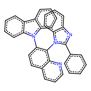 c1ccc(-c2nc3ccccc3n2-c2c(-n3c4ccccc4c4ccccc43)ccc3cccnc23)cc1